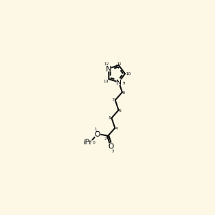 CC(C)OC(=O)CCCCCn1c[c]nc1